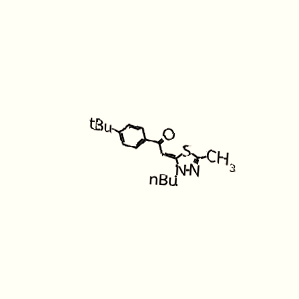 CCCCN1N=C(C)SC1=CC(=O)c1ccc(C(C)(C)C)cc1